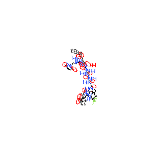 CC[C@@]1(C)C(=O)OCc2c1cc1n(c2=O)CC2C3=c4c(c(C)c(F)cc4=NC12)CCC3NC(=O)CCNC(=O)CNC(=O)CNC(=O)CNC(=O)CNC(O)C(CC(=O)OC(C)(C)C)NC(=O)CCCCCN1C(=O)C=CC1=O